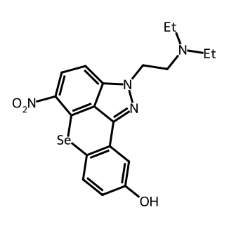 CCN(CC)CCn1nc2c3c(c([N+](=O)[O-])ccc31)[Se]c1ccc(O)cc1-2